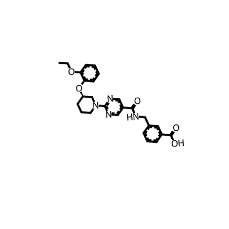 CCOc1ccccc1O[C@@H]1CCCN(c2ncc(C(=O)NCc3cccc(C(=O)O)c3)cn2)C1